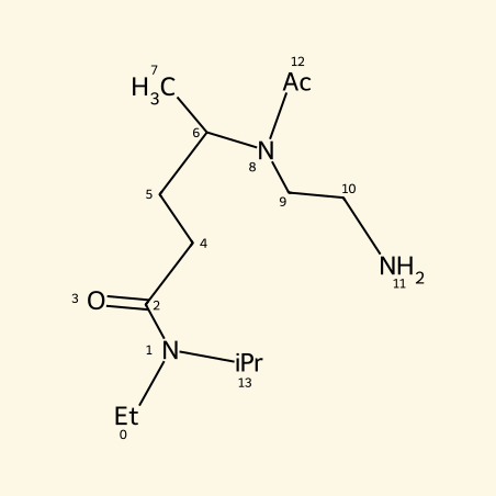 CCN(C(=O)CCC(C)N(CCN)C(C)=O)C(C)C